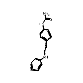 NC(=S)Nc1ccc(CCNc2ccccc2)cc1